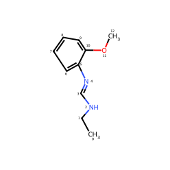 CCNC=Nc1ccccc1OC